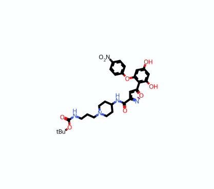 CC(C)(C)OC(=O)NCCCN1CCC(NC(=O)c2cc(-c3c(O)cc(O)cc3Oc3ccc([N+](=O)[O-])cc3)on2)CC1